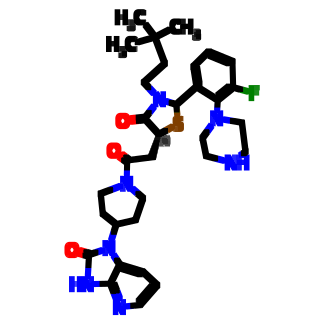 CC(C)(C)CCN1C(=O)[C@H](CC(=O)N2CCC(n3c(=O)[nH]c4ncccc43)CC2)SC1c1cccc(F)c1N1CCNCC1